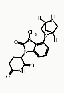 Cn1c(=O)n(C2CCC(=O)NC2=O)c2cccc(N3C[C@H]4C[C@@H]3CN4)c21